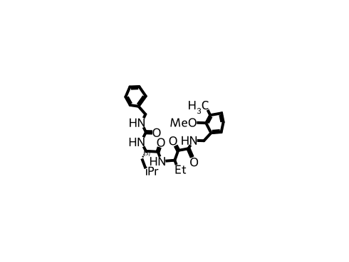 CCC(NC(=O)[C@H](CC(C)C)NC(=O)NCc1ccccc1)C(=O)C(=O)NCc1cccc(C)c1OC